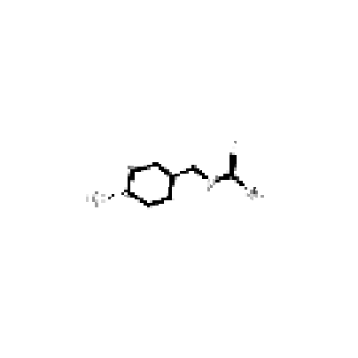 CC(C)COC(=O)OC[C@H]1CC[C@H](C)CC1